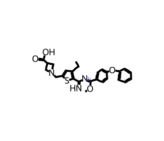 CCc1cc(CN2CC(C(=O)O)C2)sc1C(=N)/N=C(\OC)c1ccc(Oc2ccccc2)cc1